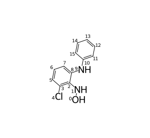 ONc1c(Cl)cccc1Nc1ccccc1